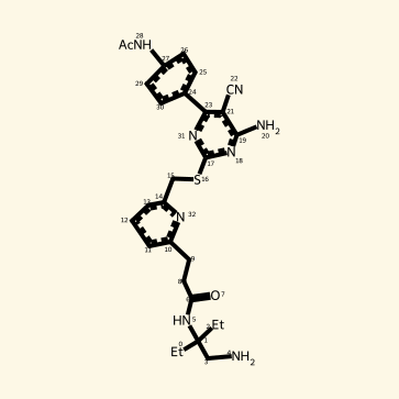 CCC(CC)(CN)NC(=O)CCc1cccc(CSc2nc(N)c(C#N)c(-c3ccc(NC(C)=O)cc3)n2)n1